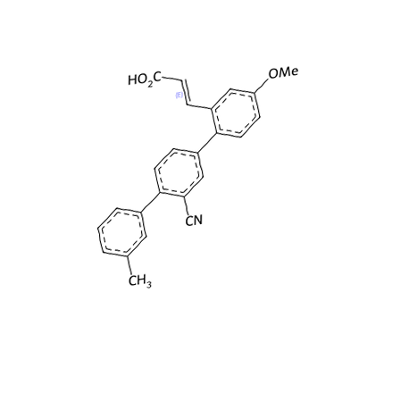 COc1ccc(-c2ccc(-c3cccc(C)c3)c(C#N)c2)c(/C=C/C(=O)O)c1